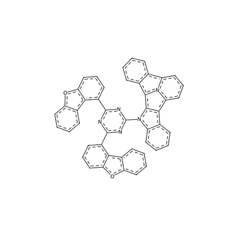 c1ccc2c(c1)oc1cccc(-c3nc(-c4cccc5oc6ccccc6c45)nc(-n4c5ccccc5c5c4c4c6ccccc6c6cccc5n64)n3)c12